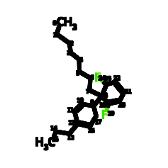 CCCCCCCCC1(C2C=CC(CCC)=CC2)C(F)=CC=CC1F